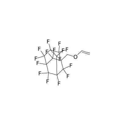 C=COCC12C(F)(F)C3(F)C(F)(F)C(F)(C(F)(F)C(F)(C3(F)F)C1(F)F)C2(F)F